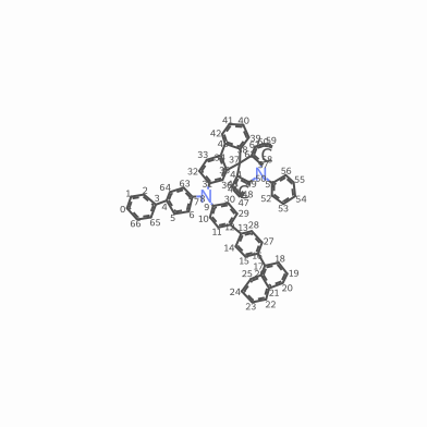 c1ccc(-c2ccc(N(c3ccc(-c4ccc(-c5cccc6ccccc56)cc4)cc3)c3ccc4c(c3)C3(c5ccccc5-4)c4ccccc4N(c4ccccc4)c4ccccc43)cc2)cc1